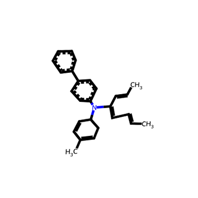 C/C=C/C=C(\C=C\C)N(c1ccc(-c2ccccc2)cc1)C1C=CC(C)=CC1